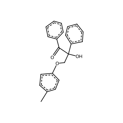 Cc1ccc(OCC(O)(C(=O)c2ccccc2)c2ccccc2)cc1